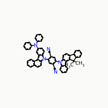 CC1(C)c2ccccc2-c2ccc3c(c21)c1ccccc1n3-c1cc(C#N)c(-n2c3ccc(N(c4ccccc4)c4ccccc4)cc3c3c4ccccc4ccc32)cc1C#N